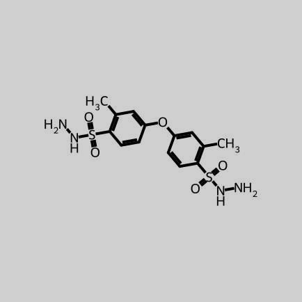 Cc1cc(Oc2ccc(S(=O)(=O)NN)c(C)c2)ccc1S(=O)(=O)NN